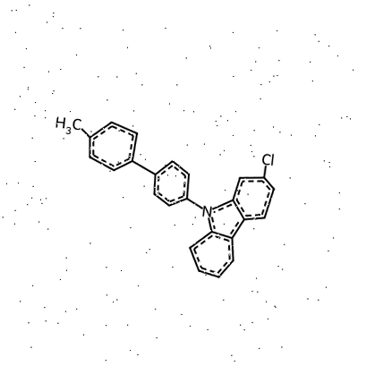 Cc1ccc(-c2ccc(-n3c4ccccc4c4ccc(Cl)cc43)cc2)cc1